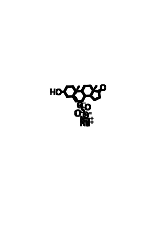 C[C@]12CC[C@H](O)CC1=CCC1C2CC[C@]2(C)C(=O)CCC12.O=S(=O)([O-])[O-].[Na+].[Na+]